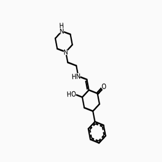 O=C1CC(c2ccccc2)CC(O)/C1=C\NCCN1CCNCC1